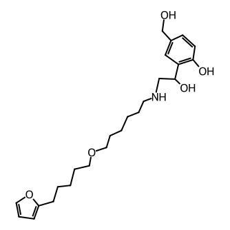 OCc1ccc(O)c(C(O)CNCCCCCCOCCCCCc2ccco2)c1